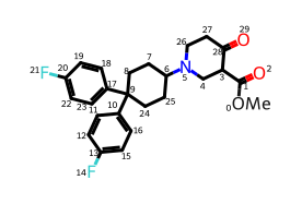 COC(=O)C1CN(C2CCC(c3ccc(F)cc3)(c3ccc(F)cc3)CC2)CCC1=O